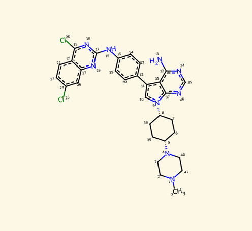 CN1CCN([C@H]2CC[C@@H](n3cc(-c4ccc(Nc5nc(Cl)c6ccc(Cl)cc6n5)cc4)c4c(N)ncnc43)CC2)CC1